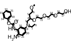 CCN(CC(CCOC)OCCOCCOCCO)c1ccc(N)c(NC(=O)Oc2ccccc2)c1